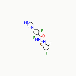 O=C(Nc1nc2c(F)cc(F)cc2s1)c1c(F)cc(N2CCNCC2)cc1F